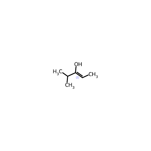 C/C=C(\O)C(C)C